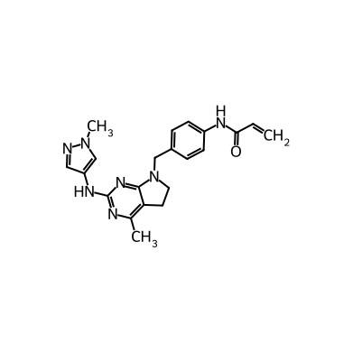 C=CC(=O)Nc1ccc(CN2CCc3c(C)nc(Nc4cnn(C)c4)nc32)cc1